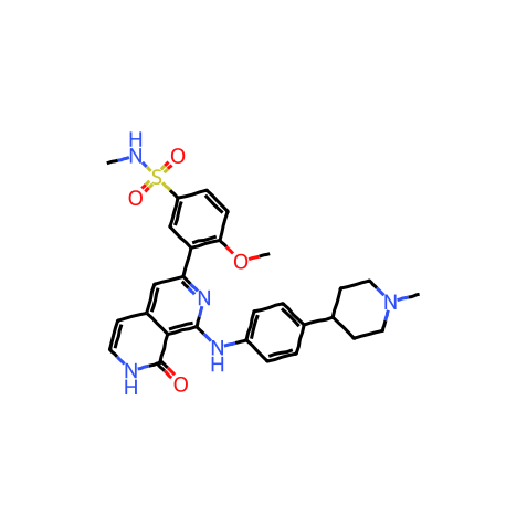 CNS(=O)(=O)c1ccc(OC)c(-c2cc3cc[nH]c(=O)c3c(Nc3ccc(C4CCN(C)CC4)cc3)n2)c1